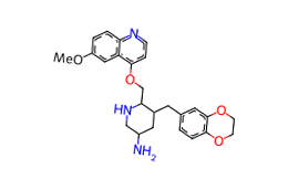 COc1ccc2nccc(OCC3NCC(N)CC3Cc3ccc4c(c3)OCCO4)c2c1